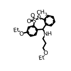 CCOCCCNC1c2ccccc2N(C)S(=O)(=O)c2cc(OCC)ccc21